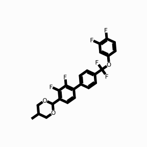 CC1COC(c2ccc(-c3ccc(C(F)(F)Oc4ccc(F)c(F)c4)cc3)c(F)c2F)OC1